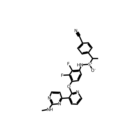 CNc1nccc(-c2cccnc2Oc2ccc(N[S+]([O-])C(C)c3ccc(C#N)cc3)c(F)c2F)n1